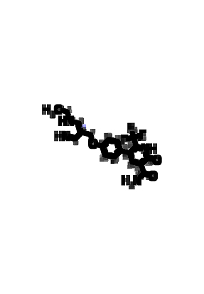 CCN/C=C(\C=N)COc1ccc(-c2cc(C(N)=O)c(=O)[nH]c2C(F)(F)F)cc1